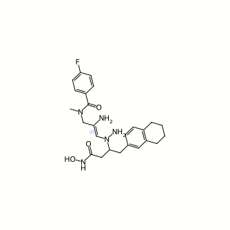 CN(C/C(N)=C/N(N)C(CC(=O)NO)Cc1ccc2c(c1)CCCC2)C(=O)c1ccc(F)cc1